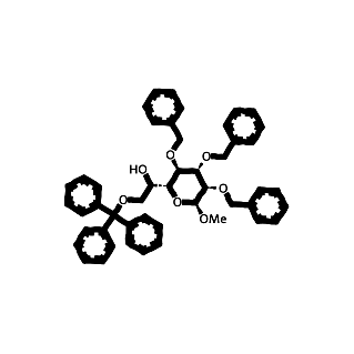 CO[C@H]1O[C@H](C(O)COC(c2ccccc2)(c2ccccc2)c2ccccc2)[C@@H](OCc2ccccc2)[C@H](OCc2ccccc2)[C@@H]1OCc1ccccc1